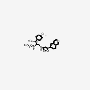 CC(C)(C)[C@@H](c1ccc(C(F)(F)F)cc1)C(CNc1cc(-c2ccc3cnccc3c2)on1)NC(=O)O